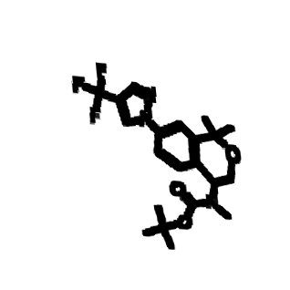 CN(C(=O)OC(C)(C)C)C1COC(C)(C)c2cc(-n3cc(C(F)(F)F)cn3)ccc21